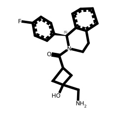 NCC1(O)CC(C(=O)N2CCc3ccccc3[C@@H]2c2ccc(F)cc2)C1